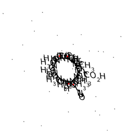 CC[C@@H]1NC(=O)[C@@H]2[C@@H]([C@H](C)CCCCC(=O)O)ON2C(=O)[C@H](C(C)C)N(C)C(=O)[C@H](CC(C)C)N(C)C(=O)[C@H](CC(C)C)N(C)C(=O)[C@@H](C)NC(=O)[C@H](C)NC(=O)[C@H](CC(C)C)N(C)C(=O)[C@H](C(C)C)NC(=O)[C@H]([C@@H](C)OCCCCN2CCOCC2)N(C)C(=O)[C@@H](C)N(C)C1=O